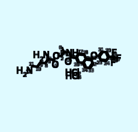 C[C@H](COC(=O)[C@@H](N)CCCCN)NC(=O)c1ccc2c(Oc3ccc(C(F)(F)F)cc3)cccc2c1.Cl.Cl